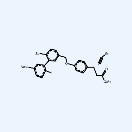 CCC#C[C@H](CC(=O)OC)c1ccc(OCc2ccc(C(C)(C)C)c(-c3cc(OC)ccc3F)c2)cc1